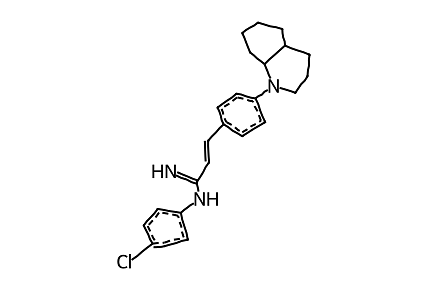 N=C(/C=C/c1ccc(N2CCCC3CCCCC32)cc1)Nc1ccc(Cl)cc1